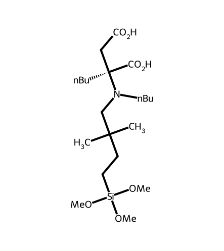 CCCCN(CC(C)(C)CC[Si](OC)(OC)OC)[C@@](CCCC)(CC(=O)O)C(=O)O